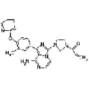 C=CC(=O)N1CCN(c2nc(-c3ccc(Oc4ccccn4)c(C)c3)c3c(N)nccn23)C1